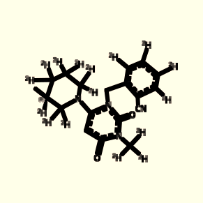 [2H]c1c([2H])c([2H])c(Cn2c(N3C([2H])([2H])C([2H])([2H])C([2H])([2H])[C@@]([2H])(C)C3([2H])[2H])cc(=O)n(C([2H])([2H])[2H])c2=O)c(C#N)c1[2H]